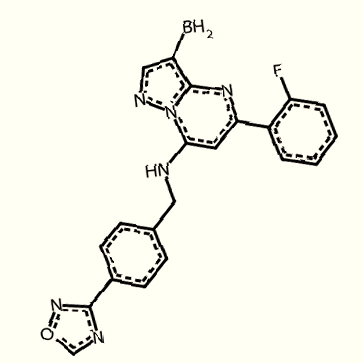 Bc1cnn2c(NCc3ccc(-c4ncon4)cc3)cc(-c3ccccc3F)nc12